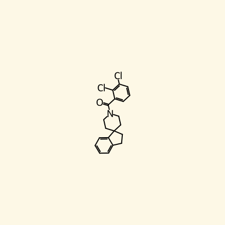 O=C(c1cccc(Cl)c1Cl)N1CCC2(CCc3ccccc32)CC1